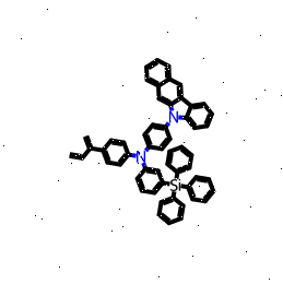 C=CC(=C)c1ccc(N(c2ccc(-n3c4ccccc4c4cc5ccccc5cc43)cc2)c2cccc([Si](c3ccccc3)(c3ccccc3)c3ccccc3)c2)cc1